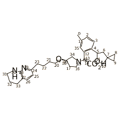 Cc1ccc(C2CC3(CC3)CO2)c([C@@H](C(=O)O)N2CC[C@@H](OCCCCc3ccc4c(n3)NCCC4)C2)c1